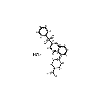 CN(C)C1CCN(c2cccc3cc(S(=O)(=O)c4ccccc4)cnc23)CC1.Cl